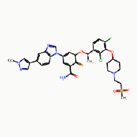 C[C@@H](OC1C=C(n2cnc3cc(-c4cnn(C)c4)ccc32)C=C(C(N)=O)C1=S)c1ccc(F)c(OC2CCN(CCS(C)(=O)=O)CC2)c1Cl